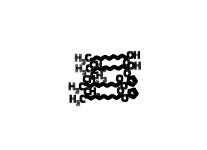 CC(C)CCCCCCCC(=O)O.CC(C)CCCCCCCC(=O)O.CC(C)CCCCCCCC(=O)OC1=CC=CC1.CC(C)CCCCCCCC(=O)OC1=CC=CC1